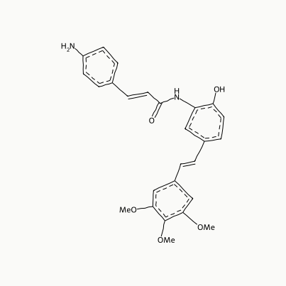 COc1cc(C=Cc2ccc(O)c(NC(=O)/C=C/c3ccc(N)cc3)c2)cc(OC)c1OC